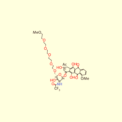 COCCOCCOCCOCCOCCOC[C@@H]1O[C@@H](O[C@H]2C[C@](O)(C(C)=O)Cc3c(O)c4c(c(O)c32)C(=O)c2c(OC)cccc2C4=O)C[C@H](NC(=O)C(F)(F)F)[C@@H]1O